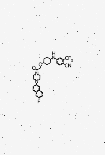 N#Cc1ccc(NC2CCC(OCC(=O)N3CCN(c4ccc5cc(F)ccc5c4)CC3)CC2)cc1C(F)(F)F